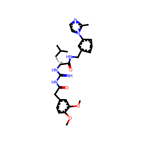 COc1ccc(CC(=O)NC(=N)N[C@H](CC(C)C)C(=O)NCc2cccc(-n3ccnc3C)c2)cc1OC